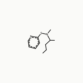 CCCC(C)N(C)Sc1ccccn1